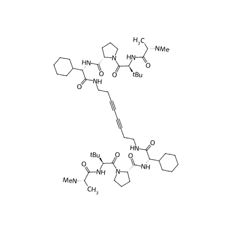 CN[C@@H](C)C(=O)N[C@H](C(=O)N1CCC[C@H]1C(=O)N[C@H](C(=O)NCCC#CC#CCCNC(=O)[C@@H](NC(=O)[C@@H]1CCCN1C(=O)[C@@H](NC(=O)[C@H](C)NC)C(C)(C)C)C1CCCCC1)C1CCCCC1)C(C)(C)C